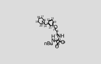 CCCCNc1c(NCCCOc2cccc(CN3CCCCC3)c2)c(=O)c1=O